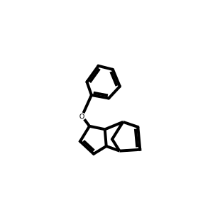 C1=CC2CC1C1C=CC(Oc3ccccc3)C21